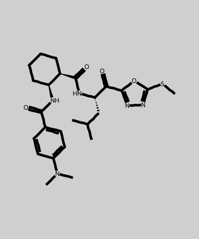 CSc1nnc(C(=O)[C@H](CC(C)C)NC(=O)[C@@H]2CCCC[C@@H]2NC(=O)c2ccc(N(C)C)cc2)o1